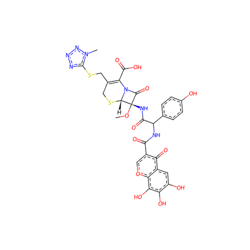 CO[C@@]1(NC(=O)C(NC(=O)c2coc3c(O)c(O)c(O)cc3c2=O)c2ccc(O)cc2)C(=O)N2C(C(=O)O)=C(CSc3nnnn3C)CS[C@H]21